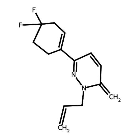 C=CCN1N=C(C2=CCC(F)(F)CC2)C=CC1=C